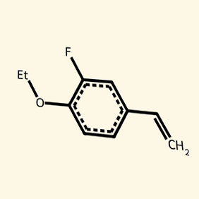 C=Cc1ccc(OCC)c(F)c1